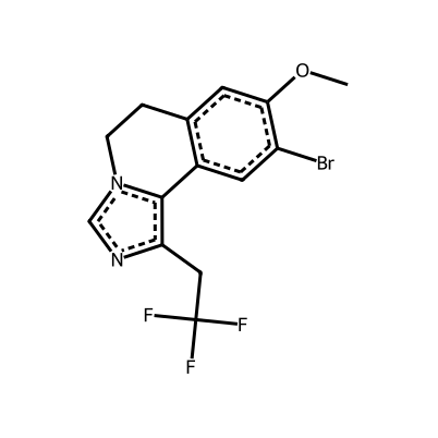 COc1cc2c(cc1Br)-c1c(CC(F)(F)F)ncn1CC2